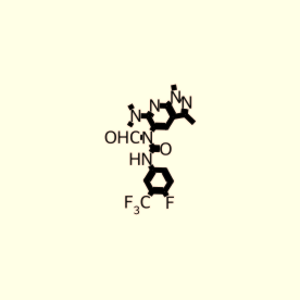 Cc1nn(C)c2nc(N(C)C)c(N(C=O)C(=O)Nc3ccc(F)c(C(F)(F)F)c3)cc12